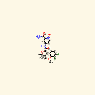 CCOc1c([C@@H]2[C@@H](C)[C@@](C)(C(F)(F)F)O[C@H]2C(=O)Nc2cc[n+]([O-])c(C(N)=O)c2)ccc(F)c1F